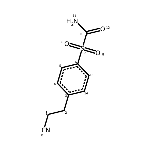 N#C[CH]Cc1ccc(S(=O)(=O)C(N)=O)cc1